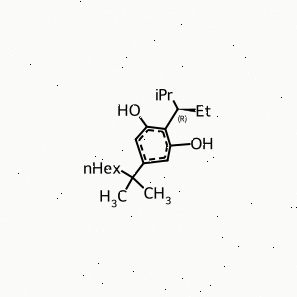 CCCCCCC(C)(C)c1cc(O)c([C@H](CC)C(C)C)c(O)c1